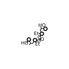 CCc1c(CC(C)c2ccccc2O)cccc1OC(=O)Oc1cccc(CC(C)c2ccccc2O)c1CC